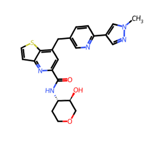 Cn1cc(-c2ccc(Cc3cc(C(=O)N[C@H]4CCOC[C@@H]4O)nc4ccsc34)cn2)cn1